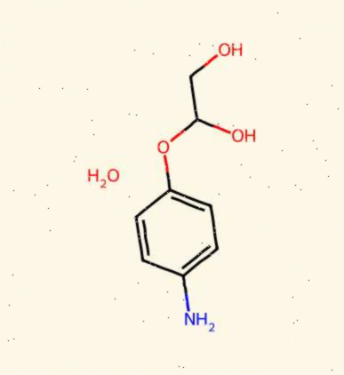 Nc1ccc(OC(O)CO)cc1.O